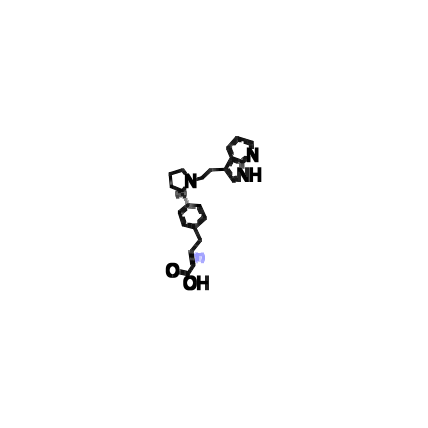 O=C(O)/C=C/Cc1ccc([C@@H]2CCCN2CCc2c[nH]c3ncccc23)cc1